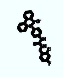 O=C(NCc1ccc(F)cc1Cl)Nc1ccc(N[S+]([O-])c2ccccc2-c2ccccc2)cc1